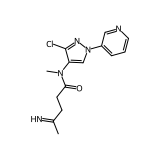 CC(=N)CCC(=O)N(C)c1cn(-c2cccnc2)nc1Cl